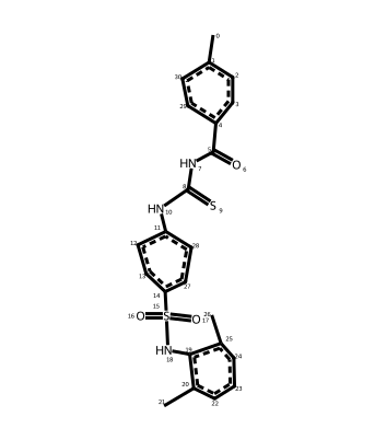 Cc1ccc(C(=O)NC(=S)Nc2ccc(S(=O)(=O)Nc3c(C)cccc3C)cc2)cc1